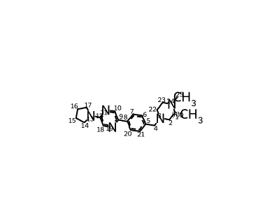 C[C@@H]1CN(Cc2ccc(-c3cnc(N4CCCC4)cn3)cc2)CCN1C